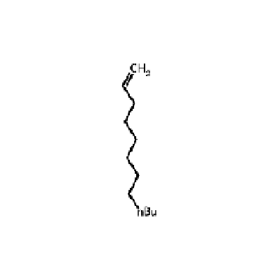 [CH]CCCCCCCCCC=C